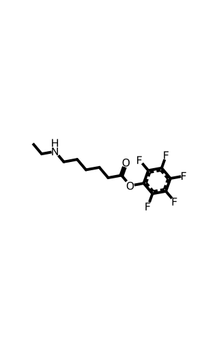 CCNCCCCCC(=O)Oc1c(F)c(F)c(F)c(F)c1F